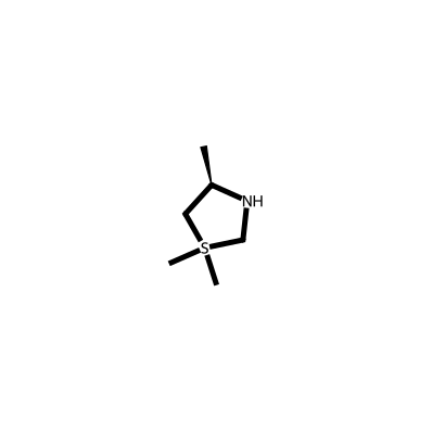 C[C@@H]1CS(C)(C)CN1